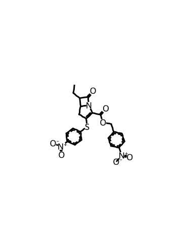 CCC1C(=O)N2C(C(=O)OCc3ccc([N+](=O)[O-])cc3)=C(Sc3ccc([N+](=O)[O-])cc3)CC12